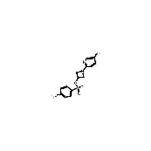 Cc1ccc(S(=O)(=O)OC2CN(c3ccc(C(C)C)cn3)C2)cc1